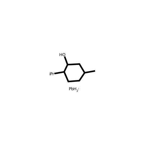 CC1CCC(C(C)C)C(O)C1.[PbH2]